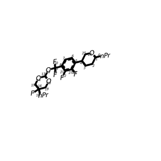 CCCC1CCC(c2ccc(C(F)(F)OC3OCC(F)(CCC)CO3)c(F)c2F)CO1